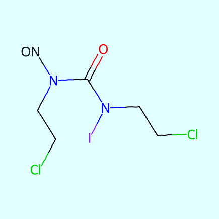 O=NN(CCCl)C(=O)N(I)CCCl